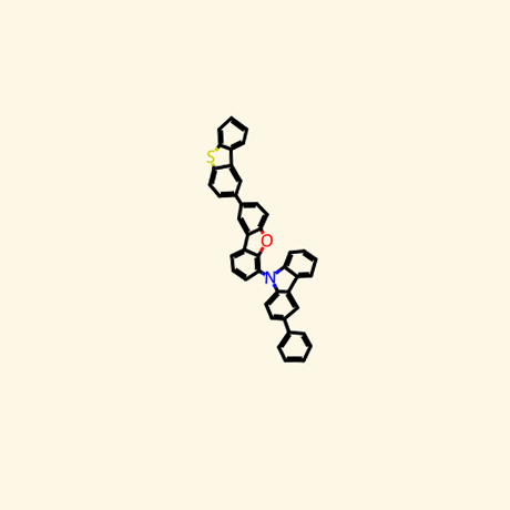 c1ccc(-c2ccc3c(c2)c2ccccc2n3-c2cccc3c2oc2ccc(-c4ccc5sc6ccccc6c5c4)cc23)cc1